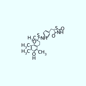 Cc1c(C)c2c(c(C)c1O)CCC(C)(C(=S)Nc1ccc(CC3SC(=O)NC3=O)cc1)O2